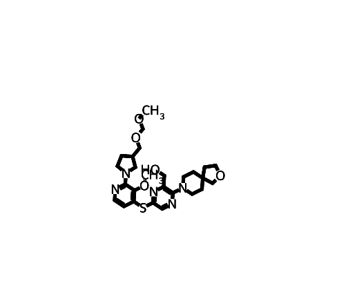 COCOCC1CCN(c2nccc(Sc3cnc(N4CCC5(CCOC5)CC4)c(CO)n3)c2OC)C1